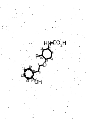 O=C(O)NC1CCC(OCCc2ccccc2O)C(F)C1